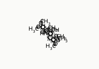 COc1ccc(S(=O)(=O)Nc2c(/C=C\c3cc(OC)c(OC)c(OC)c3)ccc(O)c2OC)cc1OC